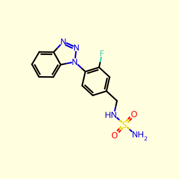 NS(=O)(=O)NCc1ccc(-n2nnc3ccccc32)c(F)c1